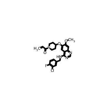 C=CC(=O)N1CCC(Oc2cc3c(NCc4ccc(F)c(Cl)c4)ncnc3cc2OC)CC1